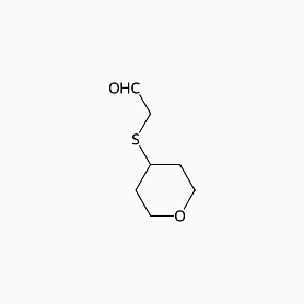 O=CCSC1CCOCC1